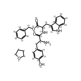 C1CCOC1.NC(Cc1ccc(O)cc1)C(=O)NC(Cc1c[nH]c2ccccc12)C(=O)OCc1ccccc1